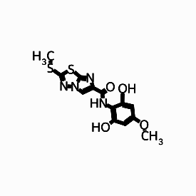 COc1cc(O)c(NC(=O)c2cn3nc(SC)sc3n2)c(O)c1